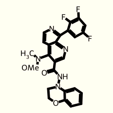 CON(C)c1c(C(=O)NN2CCOc3ccccc32)cnc2c(-c3cc(F)cc(F)c3F)nccc12